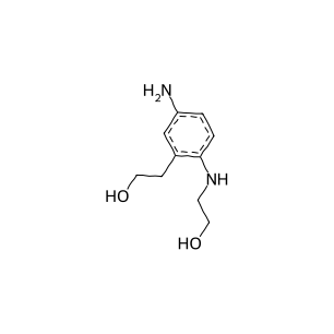 Nc1ccc(NCCO)c(CCO)c1